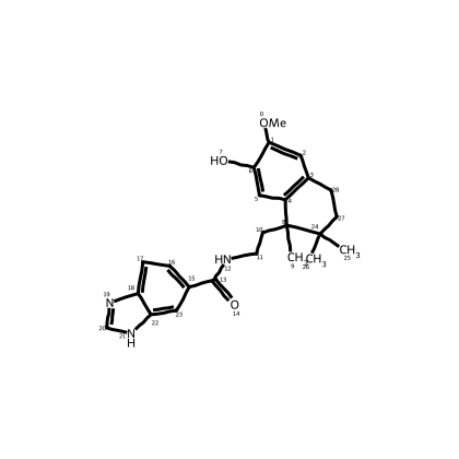 COc1cc2c(cc1O)C(C)(CCNC(=O)c1ccc3nc[nH]c3c1)C(C)(C)CC2